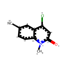 Cn1c(=O)cc(Cl)c2cc(C#N)ccc21